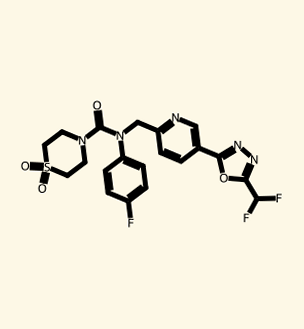 O=C(N1CCS(=O)(=O)CC1)N(Cc1ccc(-c2nnc(C(F)F)o2)cn1)c1ccc(F)cc1